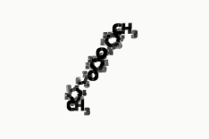 C[C@H]1CC[C@H](CCCOc2ccc(OC[C@H]3CC[C@H](C)CC3)cc2)CC1